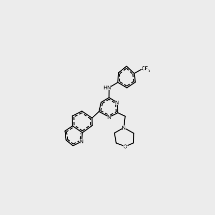 FC(F)(F)c1ccc(Nc2cc(-c3ccc4cccnc4c3)nc(CN3CCOCC3)n2)cc1